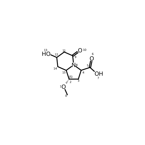 CO[C@H]1CC(C(=O)O)N2C(=O)CC(O)CC12